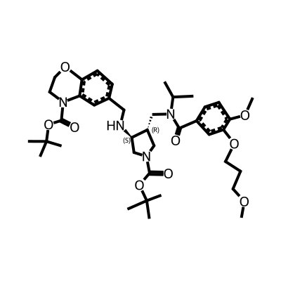 COCCCOc1cc(C(=O)N(C[C@@H]2CN(C(=O)OC(C)(C)C)C[C@H]2NCc2ccc3c(c2)N(C(=O)OC(C)(C)C)CCO3)C(C)C)ccc1OC